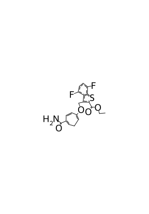 CCOC(=O)c1sc2c(F)ccc(F)c2c1COC1=CCC=C(C(N)=O)C=C1